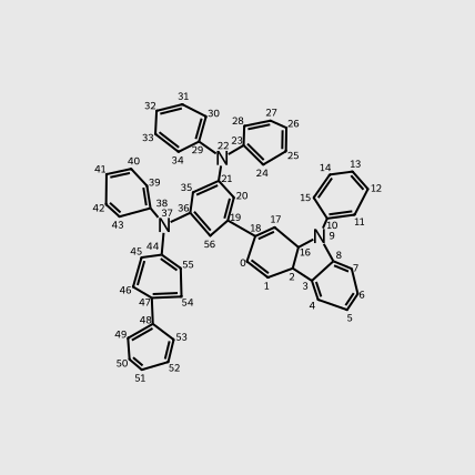 C1=CC2c3ccccc3N(c3ccccc3)C2C=C1c1cc(N(c2ccccc2)c2ccccc2)cc(N(c2ccccc2)c2ccc(-c3ccccc3)cc2)c1